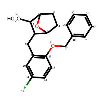 O=C(O)C1C2CCC(O2)C1Cc1cc(F)ccc1OCc1ccccc1